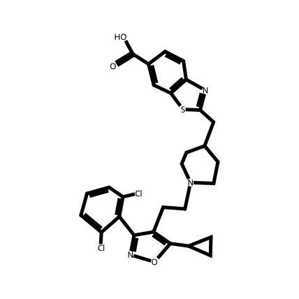 O=C(O)c1ccc2nc(CC3CCN(CCc4c(-c5c(Cl)cccc5Cl)noc4C4CC4)CC3)sc2c1